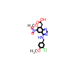 COc1ccc(CNc2ncnc3c(CC(=O)O)c(OC)c([N+](=O)[O-])cc23)cc1Cl